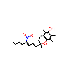 CCCCC(=CCCC1(C)CCc2c(C)c(O)c(C)c(C)c2O1)[N+](=O)[O-]